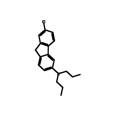 CCCN(CCC)c1ccc2c(c1)-c1ccc(Cl)cc1C2